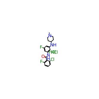 CN1CCC(Nc2cc(F)cc(NC(=O)c3c(F)cccc3Cl)c2)CC1.Cl.Cl